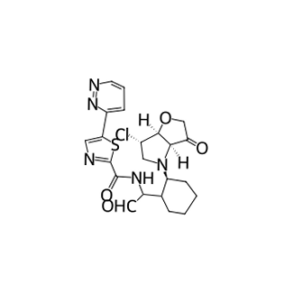 O=CC(NC(=O)c1ncc(-c2cccnn2)s1)C1CCCC[C@@H]1N1C[C@H](Cl)[C@H]2OCC(=O)[C@H]21